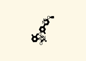 C#COc1ccc(-c2ccc(OCc3c(C)cccc3-n3nnn(C)c3=O)c(C)c2)nn1